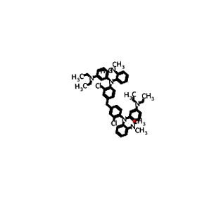 CCN(CC)c1cccc(N(c2ccc(Cc3ccc(N(c4cccc(N(CC)CC)c4)c4ccccc4N(C)C)c(Cl)c3)cc2Cl)c2ccccc2N(C)C)c1